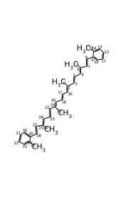 CC(/C=C/C=C(C)/C=C/c1ccccc1C)=C\C=C\C=C(C)\C=C\C=C(C)\C=C\c1ccccc1C